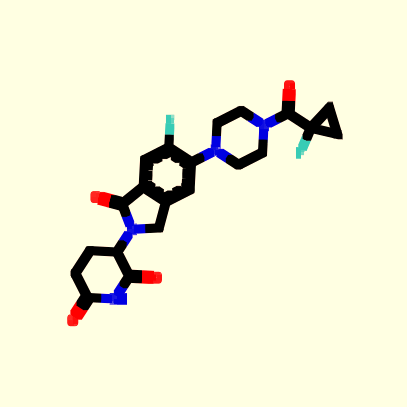 O=C1CCC(N2Cc3cc(N4CCN(C(=O)C5(F)CC5)CC4)c(F)cc3C2=O)C(=O)N1